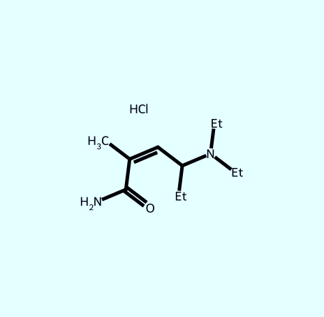 CCC(C=C(C)C(N)=O)N(CC)CC.Cl